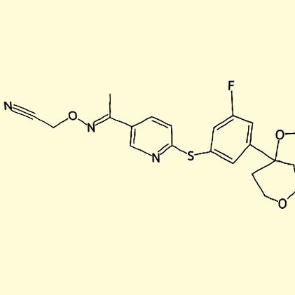 COC1(c2cc(F)cc(Sc3ccc(C(C)=NOCC#N)cn3)c2)CCOCC1